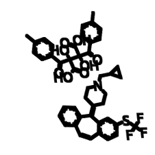 Cc1ccc(C(=O)C(O)(C(=O)O)C(O)(C(=O)O)C(=O)c2ccc(C)cc2)cc1.FC(F)(F)Sc1ccc2c(c1)C(=C1CCN(CC3CC3)CC1)c1ccccc1C=C2